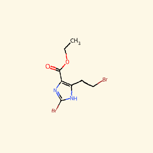 CCOC(=O)c1nc(Br)[nH]c1CCBr